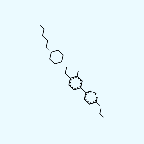 CCCCC[C@H]1CC[C@H](CCc2ccc(-c3ccc(OCC)nn3)cc2F)CC1